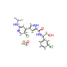 CC(C)Nc1cc(-c2c[nH]c(C(=O)NC(CO)c3cccc(Cl)c3)c2)c(Cl)cn1.Cl.O